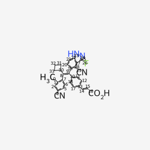 Cc1cc(C#N)ccc1C(=C(c1ccc(C=CC(=O)O)cc1)c1ccc2[nH]nc(F)c2c1C#N)C1CCC1